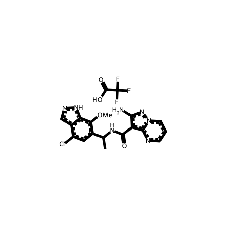 COc1c(C(C)NC(=O)c2c(N)nn3cccnc23)cc(Cl)c2cn[nH]c12.O=C(O)C(F)(F)F